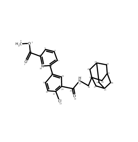 COC(=O)c1cccc(-c2ccc(Cl)c(C(=O)NCC34CC5CC(CC(C5)C3)C4)c2)n1